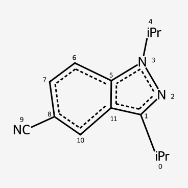 CC(C)c1nn(C(C)C)c2ccc(C#N)cc12